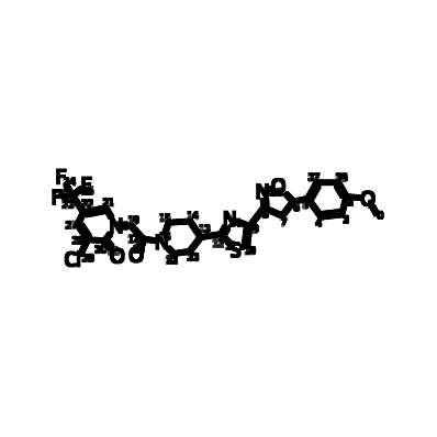 COc1ccc(C2CC(c3csc(C4CCN(C(=O)Cn5cc(C(F)(F)F)cc(Cl)c5=O)CC4)n3)=NO2)cc1